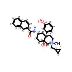 C[N@+]1(CC2CC2)CC[C@@]2(c3cccc(O)c3)C[C@@H](NC(=O)c3ccc4ccccc4c3)CCC2(O)C1